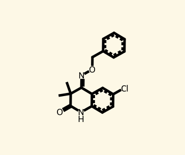 CC1(C)C(=O)Nc2ccc(Cl)cc2C1=NOCc1ccccc1